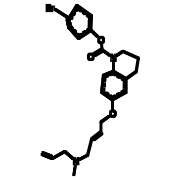 C=CCN(C)CC=CCOc1ccc2c(c1)CCCN2C(=O)Oc1ccc(Br)cc1